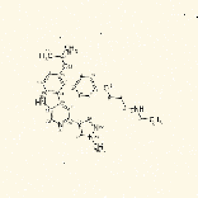 CCNCCCOc1ccc(-c2c(OC(C)C)ccc3[nH]c4cnc(-c5cnn(C)c5)cc4c23)cc1